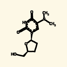 CN(C)c1cn([C@H]2CC[C@@H](CO)O2)c(=O)[nH]c1=O